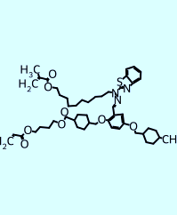 C=CC(=O)OCCCCOC(=O)C1CCC(COc2ccc(OCC3CCC(C)CC3)cc2/C=N/N(CCCCCCCCCCOC(=O)C(=C)C)c2nc3ccccc3s2)CC1